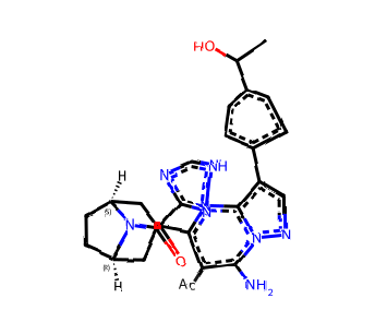 CC(=O)c1c(C2C[C@H]3CC[C@@H](C2)N3C(=O)c2nc[nH]n2)nc2c(-c3ccc(C(C)O)cc3)cnn2c1N